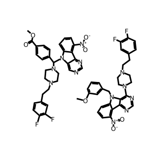 COC(=O)c1ccc(C(N2CCN(CCc3ccc(F)c(F)c3)CC2)n2c3cncnc3c3c([N+](=O)[O-])cccc32)cc1.COc1cccc(Cn2c3cccc([N+](=O)[O-])c3c3ncnc(N4CCN(CCc5ccc(F)c(F)c5)CC4)c32)c1